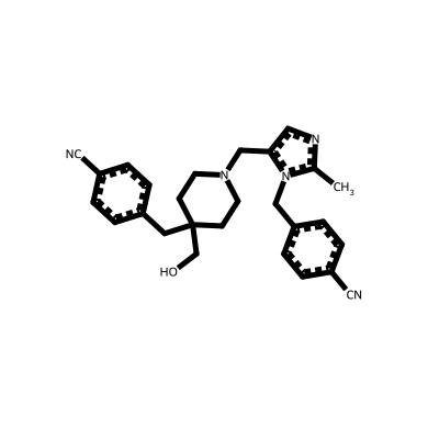 Cc1ncc(CN2CCC(CO)(Cc3ccc(C#N)cc3)CC2)n1Cc1ccc(C#N)cc1